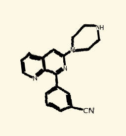 N#Cc1cccc(-c2nc(N3CCNCC3)cc3cccnc23)c1